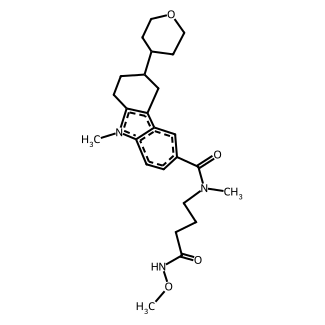 CONC(=O)CCCN(C)C(=O)c1ccc2c(c1)c1c(n2C)CCC(C2CCOCC2)C1